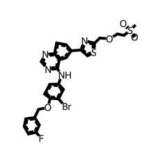 CS(=O)(=O)CCOCc1nc(-c2ccc3ncnc(Nc4ccc(OCc5cccc(F)c5)c(Br)c4)c3c2)cs1